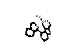 C=N/C=c1\c(=C/C)sc2ccnc(-c3nccc4ccccc34)c12